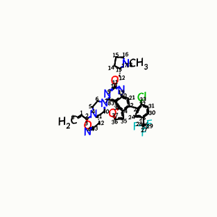 C=CC(=O)N1CCN(c2nc(OC[C@@H]3CCCN3C)nc3cc(-c4cc(C(F)(F)F)ccc4Cl)c4ccoc4c23)C[C@@H]1CC#N